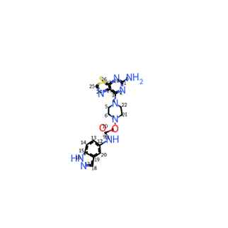 Nc1nc(N2CCN(OC(=O)Nc3ccc4[nH]ncc4c3)CC2)c2ncsc2n1